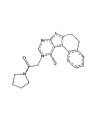 O=C(Cn1cnc2sc3c(c2c1=O)-c1ccccc1CC3)N1CCCC1